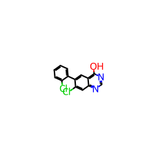 Oc1ncnc2cc(Cl)c(-c3ccccc3Cl)cc12